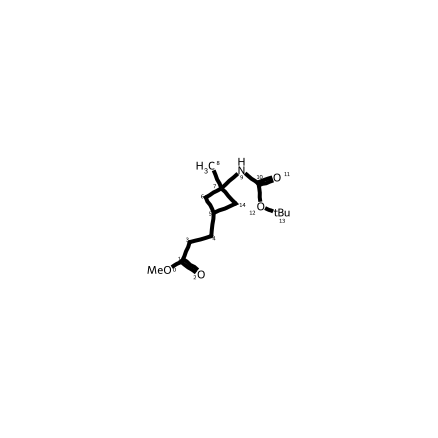 COC(=O)CCC1CC(C)(NC(=O)OC(C)(C)C)C1